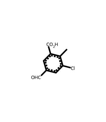 Cc1c(Cl)cc(C=O)cc1C(=O)O